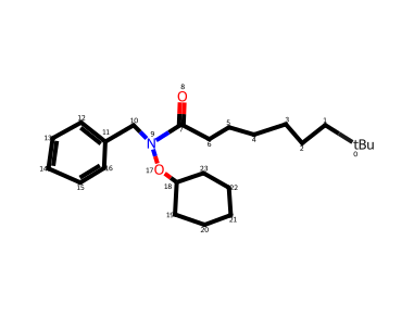 CC(C)(C)CCCCCCC(=O)N(Cc1ccccc1)OC1CCCCC1